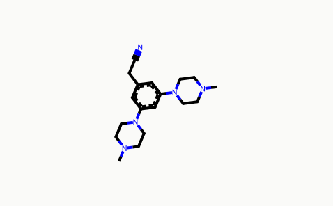 CN1CCN(c2cc(CC#N)cc(N3CCN(C)CC3)c2)CC1